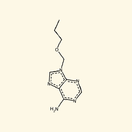 CCCOCn1cnc2c(N)ncnc21